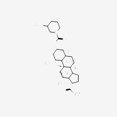 CNC(=O)[C@H]1CC[C@]2(N)[C@@H]3CC[C@@H]4C[C@@H](OC(=O)N5CCCC(OC(C)=O)C5)CC[C@]4(C)[C@H]3CC[C@]12C.Cl